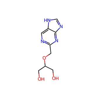 OCC(CO)OCc1ncc2[nH]cnc2n1